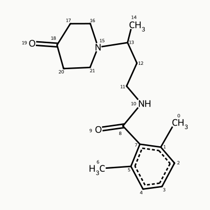 Cc1cccc(C)c1C(=O)NCCC(C)N1CCC(=O)CC1